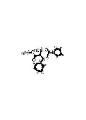 CCCCC(C(=O)OCCC)[C@H](CC(=O)n1cccc1)c1ccccc1